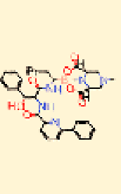 CC(C)C[C@H](NC(=O)C(NC(=O)c1cccc(-c2ccccc2)n1)[C@H](O)c1ccccc1)B1OC(=O)[C@H]2CN(C)C[C@H](C(=O)O1)N2C